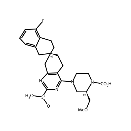 COC[C@H]1CN(c2nc([S+](C)[O-])nc3c2CC[C@@]2(CCc4c(F)cccc4C2)C3)CCN1C(=O)O